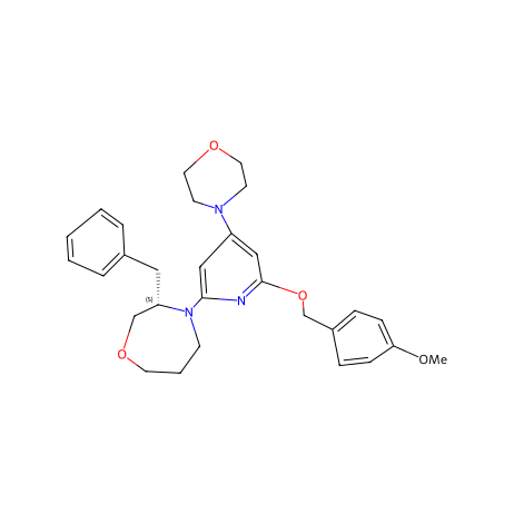 COc1ccc(COc2cc(N3CCOCC3)cc(N3CCCOC[C@@H]3Cc3ccccc3)n2)cc1